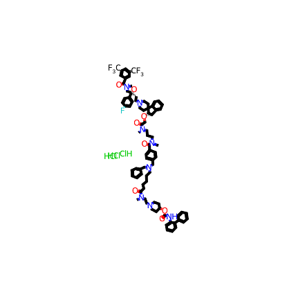 CN(CCN1CCC(OC(=O)Nc2ccccc2-c2ccccc2)CC1)C(=O)CCCCCN(Cc1ccccc1)Cc1ccc(C(=O)N(C)CCCN(C)C(=O)CO[C@H]2Cc3ccccc3C23CCN(CC[C@]2(c4ccc(F)cc4)CN(C(=O)c4cc(C(F)(F)F)cc(C(F)(F)F)c4)CO2)CC3)cc1.Cl.Cl.Cl